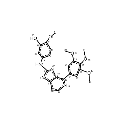 COc1ccc(Nc2nc3ccnc(-c4cc(OC)c(OC)c(OC)c4)n3n2)cc1O